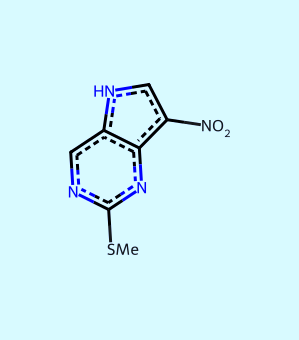 CSc1ncc2[nH]cc([N+](=O)[O-])c2n1